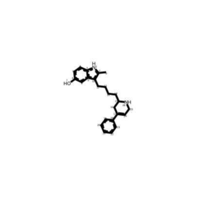 Cc1[nH]c2ccc(O)cc2c1CCCCC1CC(c2ccccc2)=CCN1